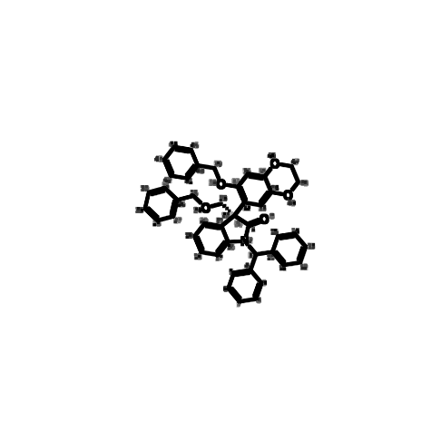 O=C1N(C(c2ccccc2)c2ccccc2)c2ccccc2[C@@]1(COCc1ccccc1)c1cc2c(cc1OCc1ccccc1)OCCO2